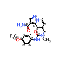 CN(Cc1ccn2ncc(C(N)=O)c2c1)C(=O)Nc1ccc(OC(F)(F)F)cc1